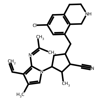 C=Cc1c(C)cn(C2CC(Cc3cc(Cl)cc4c3CNCC4)C(C#N)C2C)c1N=C(C)C